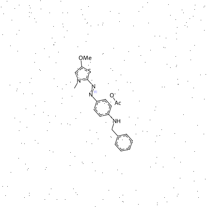 CC(=O)[O-].COc1c[n+](C)c(/N=N/c2ccc(NCc3ccccc3)cc2)s1